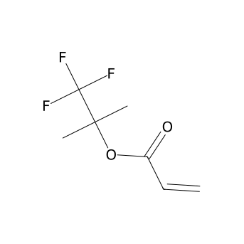 C=CC(=O)OC(C)(C)C(F)(F)F